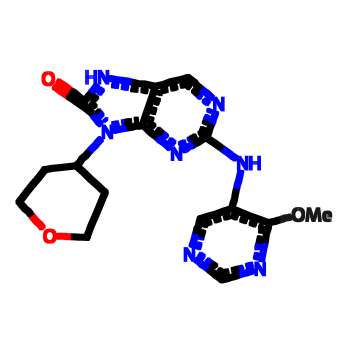 COc1ncncc1Nc1ncc2[nH]c(=O)n(C3CCOCC3)c2n1